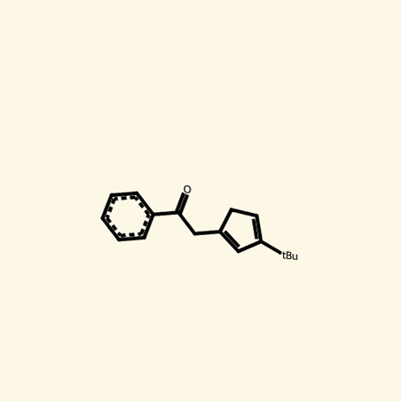 CC(C)(C)C1=CCC(CC(=O)c2ccccc2)=C1